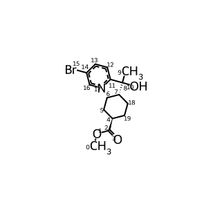 COC(=O)[C@H]1CC[C@H](C(C)(O)c2ccc(Br)cn2)CC1